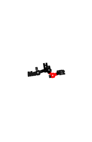 CCO[SiH2]OC